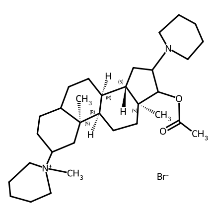 CC(=O)OC1C(N2CCCCC2)C[C@H]2[C@@H]3CCC4CCC([N+]5(C)CCCCC5)C[C@]4(C)[C@@H]3CC[C@]12C.[Br-]